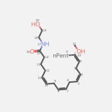 CCCCC/C=C\C/C=C\C/C=C\C/C=C\CCCC(=O)NCCO.CO